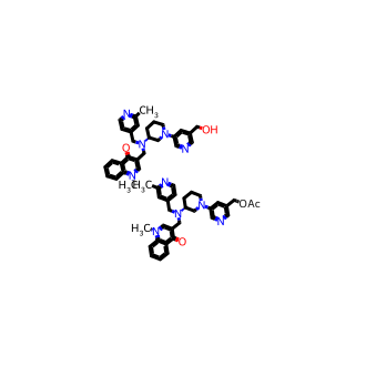 CC(=O)OCc1cncc(N2CCC[C@H](N(Cc3ccnc(C)c3)Cc3cn(C)c4ccccc4c3=O)C2)c1.Cc1cc(CN(Cc2cn(C)c3ccccc3c2=O)[C@H]2CCCN(c3cncc(CO)c3)C2)ccn1